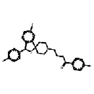 O=C(CCCN1CCC2(CC1)SC(c1ccc(F)cc1)c1ccc(F)cc12)c1ccc(F)cc1